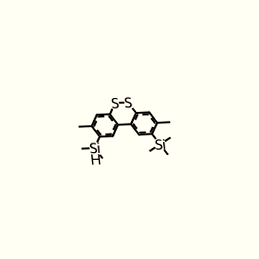 Cc1cc2c(cc1[SiH](C)C)-c1cc([Si](C)(C)C)c(C)cc1SS2